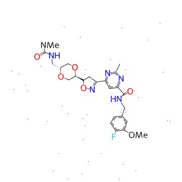 CNC(=O)NC[C@@H]1CO[C@@H](C2CC(c3cc(C(=O)NCc4ccc(F)c(OC)c4)nc(C)n3)=NO2)CO1